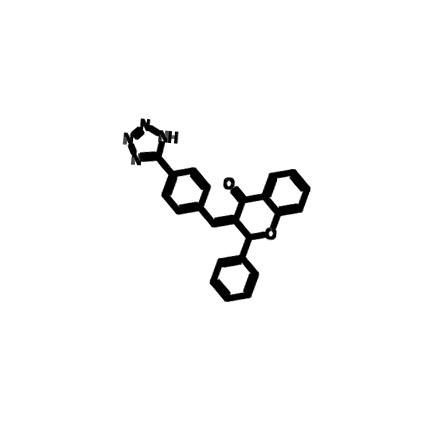 O=C1C(=Cc2ccc(-c3nnn[nH]3)cc2)C(c2ccccc2)Oc2ccccc21